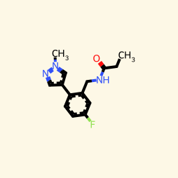 CCC(=O)NCc1cc(F)ccc1-c1cnn(C)c1